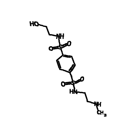 CNCCNS(=O)(=O)c1ccc(S(=O)(=O)NCCO)cc1